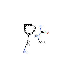 CC(C)c1ccccc1.CN.NC(=O)NC(=O)O